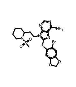 CS(=O)(=O)N1CCCCC1CCn1c(Sc2cc3c(cc2Br)OCO3)nc2c(N)ncnc21